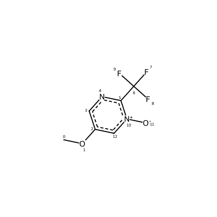 COc1cnc(C(F)(F)F)[n+]([O-])c1